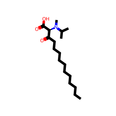 CCCCCCCCCCCC(=O)[C@@H](C(=O)O)N(C)C(C)C